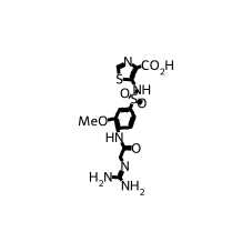 COc1cc(S(=O)(=O)Nc2scnc2C(=O)O)ccc1NC(=O)CN=C(N)N